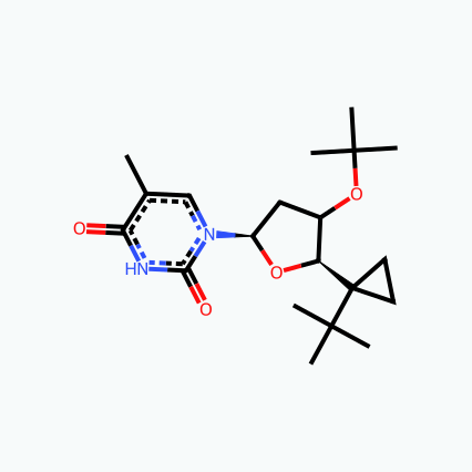 Cc1cn([C@H]2CC(OC(C)(C)C)[C@@H](C3(C(C)(C)C)CC3)O2)c(=O)[nH]c1=O